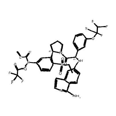 CCS(=O)(=O)c1ccc(N(OC(=O)C(F)(F)F)C(=O)OC)cc1[C@H]1CCCN1C(=O)[C@H](Nc1ccc2c(N)nccc2c1)c1cccc(OC(F)(F)C(F)F)c1